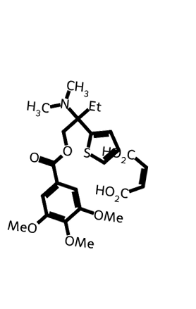 CCC(COC(=O)c1cc(OC)c(OC)c(OC)c1)(c1cccs1)N(C)C.O=C(O)/C=C\C(=O)O